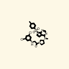 Cc1ccc(S(=O)(=O)n2ccc3c(N(C)[C@@H]4CCN(C(=O)CNc5cc(Cl)cc(Cl)c5)C4)ncnc32)cc1